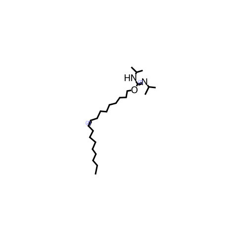 CCCCCCCC/C=C\CCCCCCCCO/C(=N\C(C)C)NC(C)C